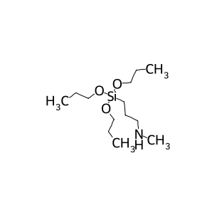 CCCO[Si](CCCNC)(OCCC)OCCC